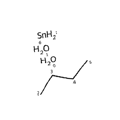 O.O.[CH2]CCC.[SnH2]